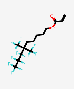 C=CC(=O)OCCCCCC(C(F)(F)F)(C(F)(F)F)C(F)(F)C(F)(F)C(F)(F)F